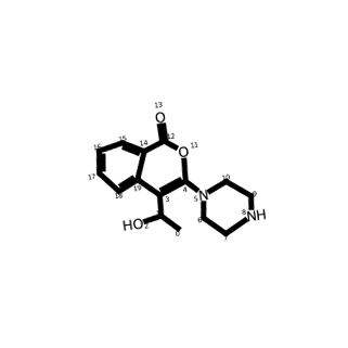 CC(O)c1c(N2CCNCC2)oc(=O)c2ccccc12